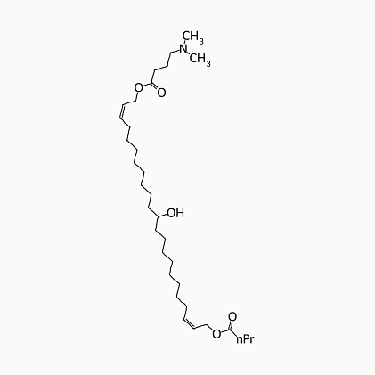 CCCC(=O)OC/C=C\CCCCCCCCC(O)CCCCCCCC/C=C\COC(=O)CCCN(C)C